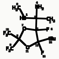 CBC(C)(N)C1(F)OC(C(F)(F)F)(C(F)(F)F)OC1(F)C(C)(C)C